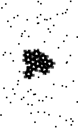 c1ccc(-c2ccccc2N(c2ccc3c(c2)C2(c4ccccc4-c4ccccc42)c2ccccc2-3)c2ccccc2-c2cccc3c2sc2ccccc23)cc1